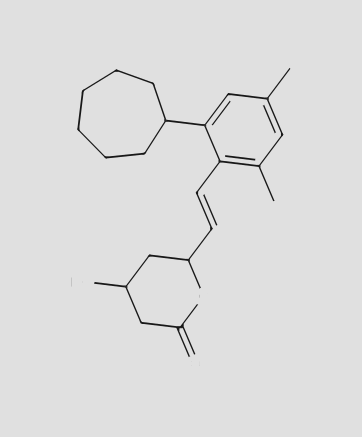 Cc1cc(C)c(C=CC2CC(O)CC(=O)O2)c(C2CCCCCC2)c1